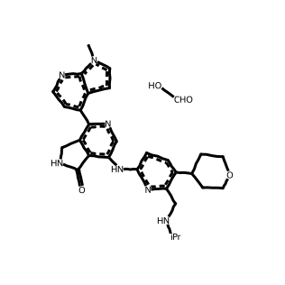 CC(C)NCc1nc(Nc2cnc(-c3ccnc4c3ccn4C)c3c2C(=O)NC3)ccc1C1CCOCC1.O=CO